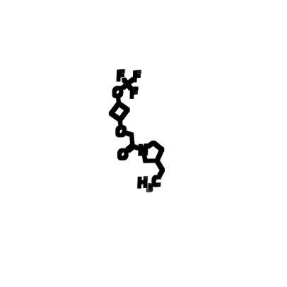 CCC1CCN(C(=O)COC2CC(OC(F)(F)F)C2)C1